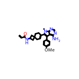 C=CC(=O)NC1CC2(CC=C(c3c(-c4ccc(OC)cc4)c4c(N)ncnc4n3C)CC2)C1